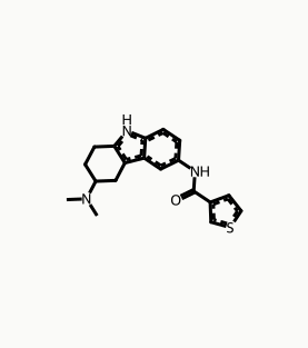 CN(C)C1CCc2[nH]c3ccc(NC(=O)c4ccsc4)cc3c2C1